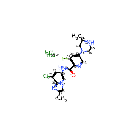 Cc1cn2cc(NC(=O)c3ncc(N4CCNC(C)C4)cc3F)cc(Cl)c2n1.Cl.Cl